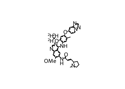 [2H]C([2H])([2H])Oc1cc(Oc2ccn3ncnc3c2)c(C)cc1Nc1ncnc2cc(OC)c(NC(=O)C=CC3CCCN3C)cc12